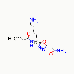 CCCC(=O)N[C@@H](CCCCN)c1nnc(CC(N)=O)o1